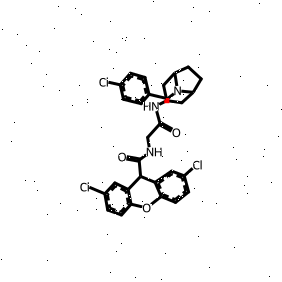 O=C(CNC(=O)C1c2cc(Cl)ccc2Oc2ccc(Cl)cc21)NC1CC2CCC(C1)N2Cc1ccc(Cl)cc1